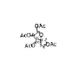 CC(=O)OC[C@@]1(CF)O[C@H](OC(C)=O)[C@H](OC(C)=O)[C@@H]1OC(C)=O